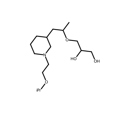 CC(C)OCCN1CCCC(CC(C)OCC(O)CO)C1